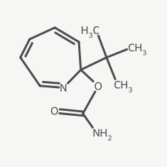 CC(C)(C)C1(OC(N)=O)C=CC=CC=N1